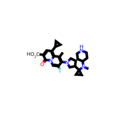 Cc1c(N2CCC(C3(N(C)C4CCNCC4)CC3)C2)c(F)cn2c(=O)c(C(=O)O)cc(C3CC3)c12